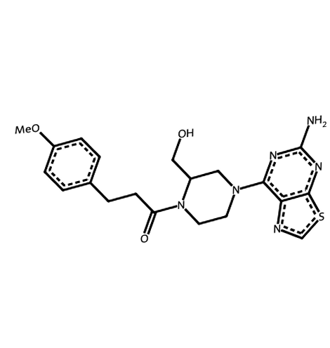 COc1ccc(CCC(=O)N2CCN(c3nc(N)nc4scnc34)CC2CO)cc1